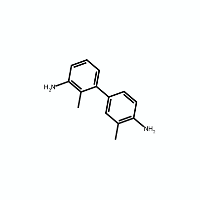 Cc1cc(-c2cccc(N)c2C)ccc1N